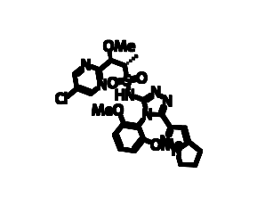 COc1cccc(OC)c1-n1c(NS(=O)(=O)[C@@H](C)[C@H](OC)c2ncc(Cl)cn2)nnc1-c1cc2n(n1)CCC2